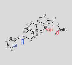 CCC(=O)CC[C@@H](C)[C@H]1CCC2C3CC[C@H]4C[C@@H](NCc5ccccn5)CC[C@]4(C)C3C[C@H](O)[C@@]21C